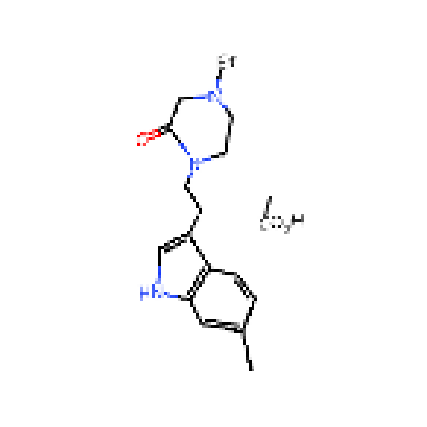 CC(=O)O.CCN1CCN(CCc2c[nH]c3cc(C)ccc23)C(=O)C1